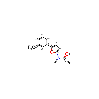 CC(C)C(=O)N(C)c1ccc(-c2cccc(C(F)(F)F)c2)o1